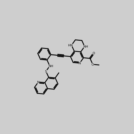 COC(=O)c1ncc(C#Cc2ccccc2NSc2c(C)ccc3cccnc23)c2c1NCCN2